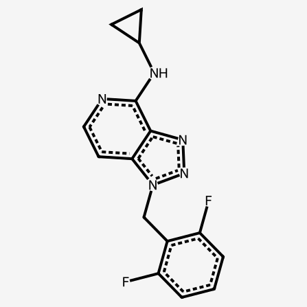 Fc1cccc(F)c1Cn1nnc2c(NC3CC3)nccc21